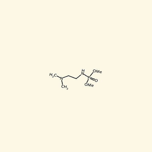 COP(=O)(NCCN(C)C)OC